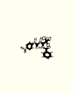 O=C(NC(NC(=S)Nc1ccc([N+](=O)[O-])cc1)C(Cl)(Cl)Cl)c1ccccc1